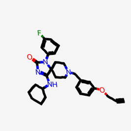 C#CCOc1cccc(CN2CCC3(CC2)C(NC2CCCCC2)=NC(=O)N3c2cccc(F)c2)c1